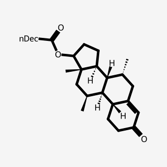 CCCCCCCCCCC(=O)OC1CC[C@H]2[C@H]3[C@H]([C@@H](C)C[C@]12C)[C@H]1CCC(=O)C=C1C[C@H]3C